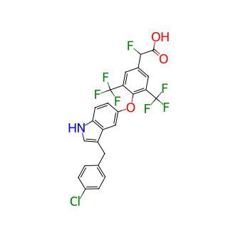 O=C(O)C(F)c1cc(C(F)(F)F)c(Oc2ccc3[nH]cc(Cc4ccc(Cl)cc4)c3c2)c(C(F)(F)F)c1